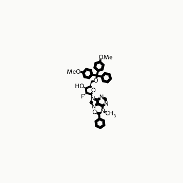 COc1ccc(C(OC[C@H]2O[C@@H](n3cnc4c(N(C)C(=O)c5ccccc5)ncnc43)[C@H](F)[C@@H]2O)(c2ccccc2)c2ccc(OC)cc2)cc1